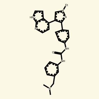 CCn1cc(-c2ccnc3[nH]ccc23)c(-c2ccc(NC(=O)Nc3cccc(CN(C)C)c3)cc2)n1